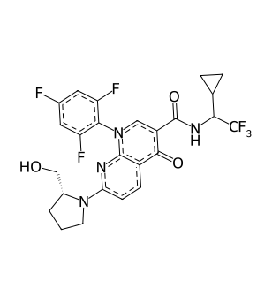 O=C(NC(C1CC1)C(F)(F)F)c1cn(-c2c(F)cc(F)cc2F)c2nc(N3CCC[C@@H]3CO)ccc2c1=O